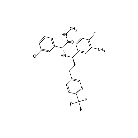 CNC(=O)[C@H](N[C@H](CCc1ccc(C(F)(F)F)nc1)c1ccc(F)c(C)c1)c1cccc(Cl)c1